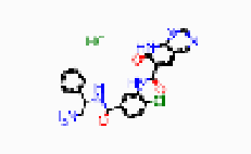 Cl.NCC(NC(=O)c1ccc(Cl)c(NC(=O)c2cc3cncnc3[nH]c2=O)c1)c1ccccc1